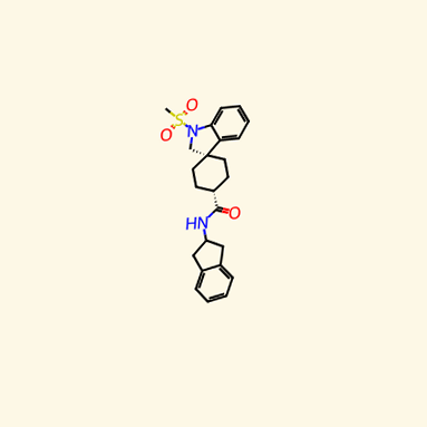 CS(=O)(=O)N1C[C@]2(CC[C@@H](C(=O)NC3Cc4ccccc4C3)CC2)c2ccccc21